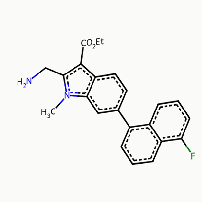 CCOC(=O)c1c(CN)n(C)c2cc(-c3cccc4c(F)cccc34)ccc12